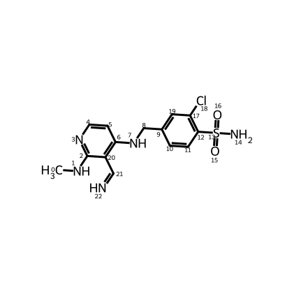 CNc1nccc(NCc2ccc(S(N)(=O)=O)c(Cl)c2)c1C=N